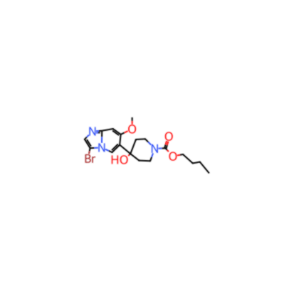 CCCCOC(=O)N1CCC(O)(c2cn3c(Br)cnc3cc2OC)CC1